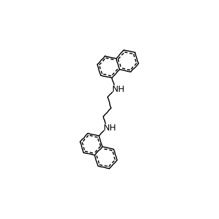 c1ccc2c(NCCCNc3cccc4ccccc34)cccc2c1